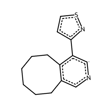 [c]1ncc2c(c1-c1ccsn1)CCCCCC2